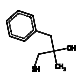 CC(O)(CS)Cc1ccccc1